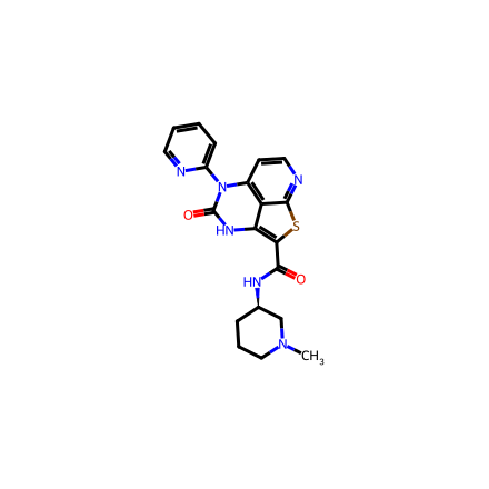 CN1CCC[C@@H](NC(=O)c2sc3nccc4c3c2NC(=O)N4c2ccccn2)C1